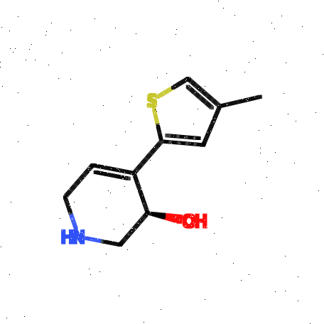 Cc1csc(C2=CCNC[C@@H]2O)c1